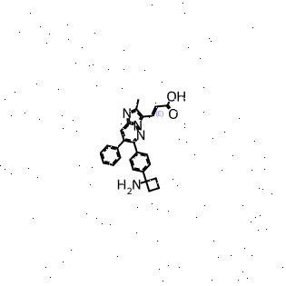 Cc1nc2cc(-c3ccccc3)c(-c3ccc(C4(N)CCC4)cc3)nn2c1/C=C/C(=O)O